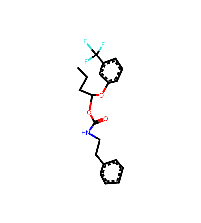 CCCC(OC(=O)NCCc1ccccc1)Oc1cccc(C(F)(F)F)c1